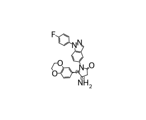 N[C@H]1CC(=O)N(c2ccc3c(cnn3-c3ccc(F)cc3)c2)[C@@H]1c1ccc2c(c1)OCCO2